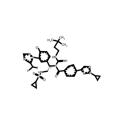 CC(C)(C)CCNC(=N)N(C(=O)c1ccc(-c2cnn(C3CC3)n2)cc1)[C@H](CNS(=O)(=O)C1CC1)c1ccc(Cl)c(-n2ncnc2C(F)F)c1